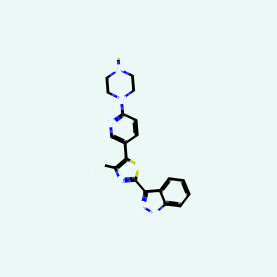 Cc1nc(-c2n[nH]c3ccccc23)sc1-c1ccc(N2CCN(C)CC2)nc1